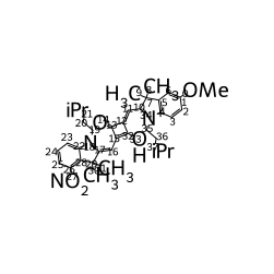 COc1ccc2c(c1)C(C)(C)C(/C=C1/C(=O)C(/C=C3\N(CCC(C)C)c4cccc([N+](=O)[O-])c4C3(C)C)=C1O)=[N+]2CCC(C)C